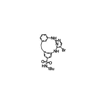 CC(C)(C)NS(=O)(=O)c1cc2cc(c1)Nc1nc(ncc1Br)Nc1cccc(c1)CC2